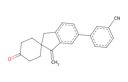 C=C1c2cc(-c3cccc(C#N)c3)ccc2CC12CCC(=O)CC2